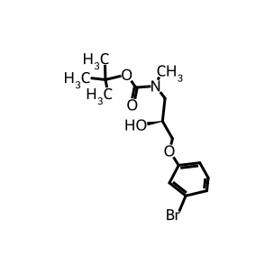 CN(C[C@H](O)COc1cccc(Br)c1)C(=O)OC(C)(C)C